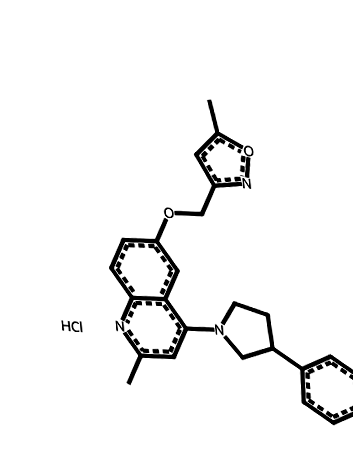 Cc1cc(N2CCC(c3ccccc3)C2)c2cc(OCc3cc(C)on3)ccc2n1.Cl